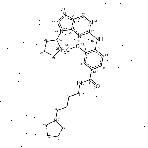 O=C(NCCCCN1CCCC1)c1ccc(Nc2ncc3ncn(C4CCCC4)c3n2)c(OC(F)(F)F)c1